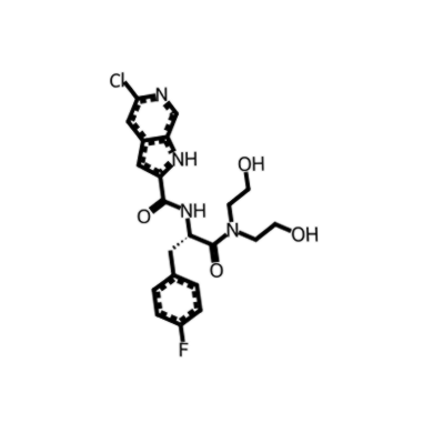 O=C(N[C@@H](Cc1ccc(F)cc1)C(=O)N(CCO)CCO)c1cc2cc(Cl)ncc2[nH]1